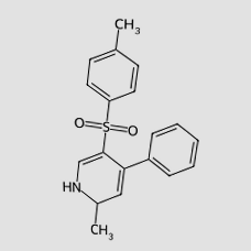 Cc1ccc(S(=O)(=O)C2=CNC(C)C=C2c2ccccc2)cc1